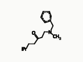 CC(C)CCC(=O)CCN(C)Cc1ccccc1